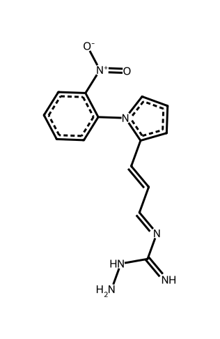 N=C(N=C/C=C/c1cccn1-c1ccccc1[N+](=O)[O-])NN